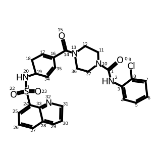 O=C(Nc1ccccc1Cl)N1CCN(C(=O)C2=CCC(NS(=O)(=O)c3cccc4cccnc34)C=C2)CC1